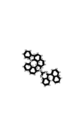 c1ccc2c(-c3nc(-n4c5ccc6cccc7c6c5c5c6c(ccc8c9ccccc9n7c86)ccc54)nc4ccccc34)cccc2c1